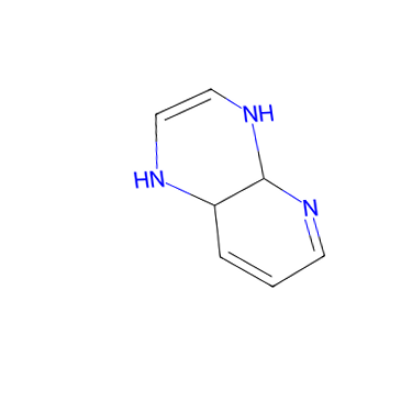 C1=CC2NC=CNC2N=C1